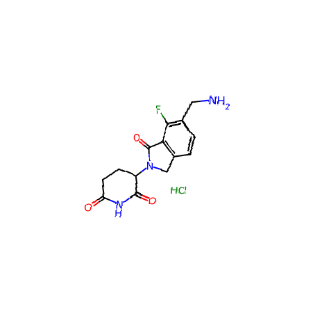 Cl.NCc1ccc2c(c1F)C(=O)N(C1CCC(=O)NC1=O)C2